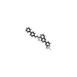 Cc1cc(-c2cc3ccnc(NCCc4ccc(-c5ccnnc5)cc4)c3cn2)ccn1